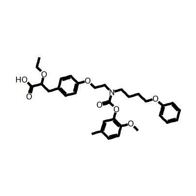 CCOC(Cc1ccc(OCCN(CCCCOc2ccccc2)C(=O)Oc2cc(C)ccc2OC)cc1)C(=O)O